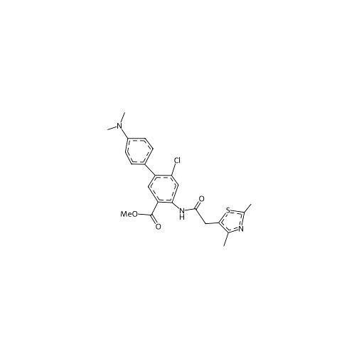 COC(=O)c1cc(-c2ccc(N(C)C)cc2)c(Cl)cc1NC(=O)Cc1sc(C)nc1C